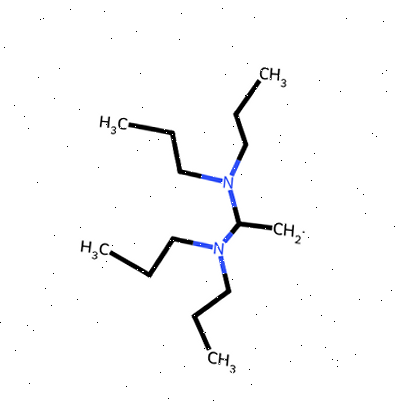 [CH2]C(N(CCC)CCC)N(CCC)CCC